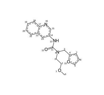 COCCN(Cc1ccco1)C(=O)Nc1cnc2ccccc2c1